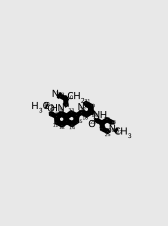 C=C(C#N)CNc1c(COC)ccc2ccc(-c3cc(NC(=O)C4CCN(C)CC4)ccn3)cc12